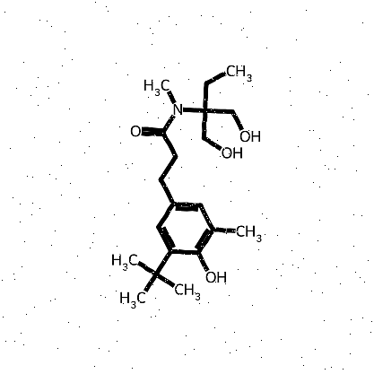 CCC(CO)(CO)N(C)C(=O)CCc1cc(C)c(O)c(C(C)(C)C)c1